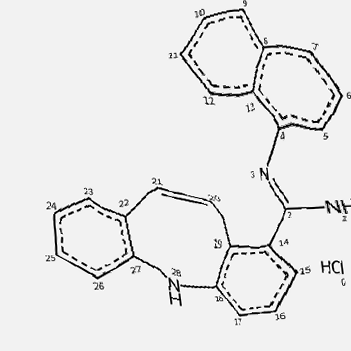 Cl.NC(=Nc1cccc2ccccc12)c1cccc2c1C=Cc1ccccc1N2